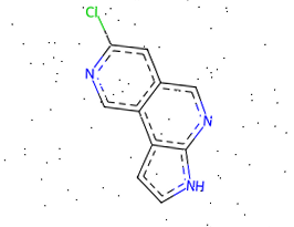 Clc1cc2cnc3[nH]ccc3c2cn1